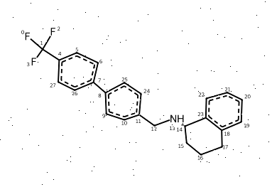 FC(F)(F)c1ccc(-c2ccc(CN[C@H]3CCCc4ccccc43)cc2)cc1